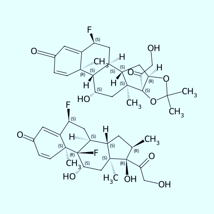 CC1(C)O[C@@H]2C[C@H]3[C@@H]4C[C@H](F)C5=CC(=O)C=C[C@]5(C)[C@H]4[C@@H](O)C[C@]3(C)[C@]2(C(=O)CO)O1.C[C@@H]1C[C@H]2[C@@H]3C[C@H](F)C4=CC(=O)C=C[C@]4(C)[C@@]3(F)[C@@H](O)C[C@]2(C)[C@@]1(O)C(=O)CO